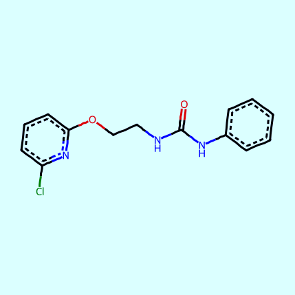 O=C(NCCOc1cccc(Cl)n1)Nc1ccccc1